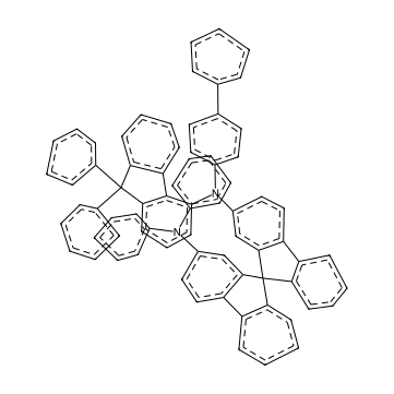 c1ccc(-c2ccc(N(c3ccc4c(c3)C3(c5ccccc5-c5ccc(N(c6ccccc6)c6ccccc6)cc53)c3ccccc3-4)c3cccc4c3-c3ccccc3C4(c3ccccc3)c3ccccc3)cc2)cc1